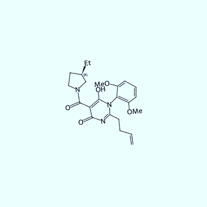 C=CCCc1nc(=O)c(C(=O)N2CC[C@@H](CC)C2)c(O)n1-c1c(OC)cccc1OC